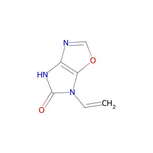 C=Cn1c(=O)[nH]c2ncoc21